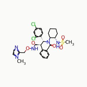 Cn1ccnc1CONC(=O)[C@@H]1c2ccccc2C(=O)N(C2CCCC[C@@H]2NS(C)(=O)=O)[C@H]1c1ccc(Cl)cc1Cl